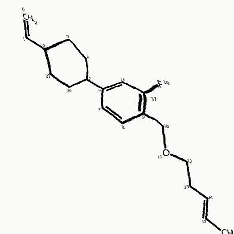 C=CC1CCC(c2ccc(COCCC=CC)c(F)c2)CC1